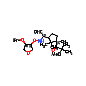 COC(C)(C)C(=O)[C@]1(C)CCC([C@@H](C=O)NO[C@H]2COC[C@H]2OC(C)C)C1(C)C